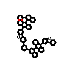 c1ccc(-c2ccc3ccccc3c2-c2c3ccccc3c(-c3ccc4oc5cc(-c6cccc(-c7cc(-c8c9ccccc9c(-c9ccc%10oc%11ccccc%11c%10c9)c9ccccc89)c8ccccc8c7)c6)ccc5c4c3)c3ccccc23)cc1